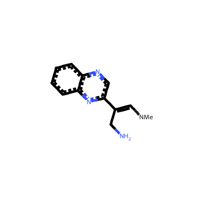 CN/C=C(\CN)c1cnc2ccccc2n1